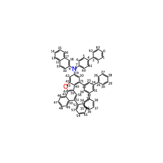 c1ccc(-c2ccc(N(c3ccc4ccccc4c3)c3cc(-c4cc(-c5ccccc5)cc(-c5ccccc5)c4)c4c(c3)oc3c5ccccc5c(-c5ccccc5)cc34)cc2)cc1